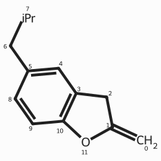 C=C1Cc2cc(CC(C)C)ccc2O1